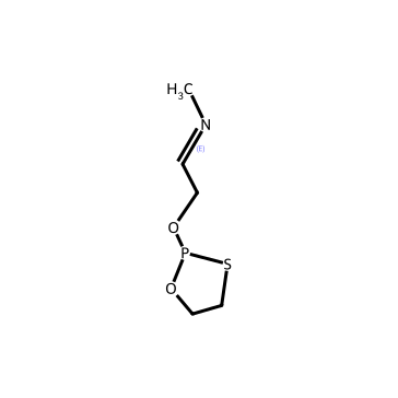 C/N=C/COP1OCCS1